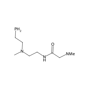 CNCC(=O)NCCN(C)CCP